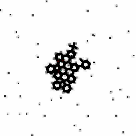 Cc1ccccc1-c1cc2c3c(c1)N(c1ccc(C(C)(C)C)cc1-c1ccccc1)c1ccc4c(oc5ccccc54)c1B3N1c3ccccc3C(c3ccccc3)(c3ccccc3)c3cccc-2c31